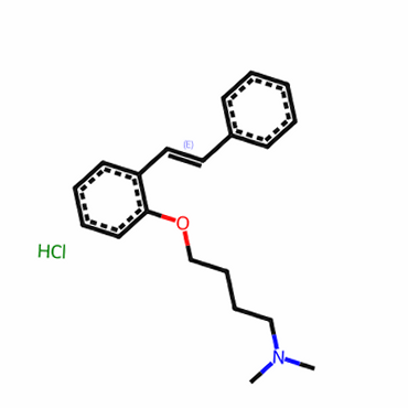 CN(C)CCCCOc1ccccc1/C=C/c1ccccc1.Cl